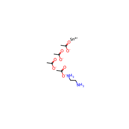 CC(=O)[O-].CC(=O)[O-].CC(=O)[O-].CC(=O)[O-].NCCN.[Sn+4]